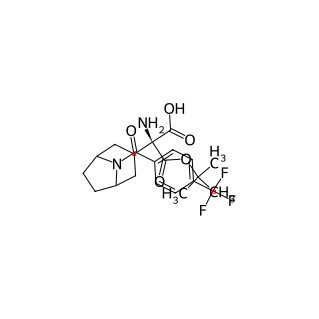 CC(C)(C)OC(=O)[C@@](N)(C(=O)O)C1CC2CCC(C1)N2C(=O)c1ccc(C(F)(F)F)cc1